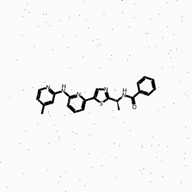 Cc1ccnc(Nc2cccc(-c3cnc([C@H](C)NC(=O)c4ccccc4)s3)n2)c1